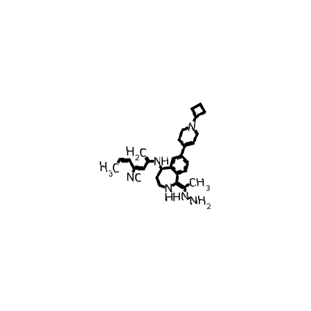 C=C(/C=C(C#N)\C=C/C)NC1CCN/C(=C(/C)NN)c2ccc(C3=CCN(C4CCC4)CC3)cc21